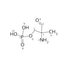 CC(N)(C=O)COP(=O)(O)O